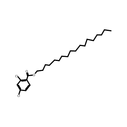 CCCCCCCCCCCCCCCCCCOC(=O)c1ccc(Cl)cc1Cl